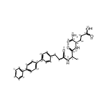 CC(NC(=O)CCc1ccc(-c2ccc(-c3ccccc3)cc2)cc1)C(=O)NC(CCC(=O)O)C(N)=O